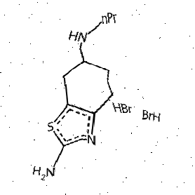 Br.Br.CCCNC1CCc2nc(N)sc2C1